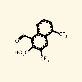 O=Ic1c(C(=O)O)c(C(F)(F)F)cc2c(C(F)(F)F)cccc12